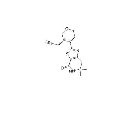 C#CC[C@H]1COCCN1c1nc2c(s1)C(=O)NC(C)(C)C2